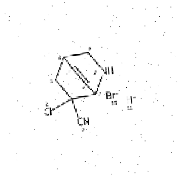 N#CC1(Cl)CC2C=CC1NC2.[Br-].[H+]